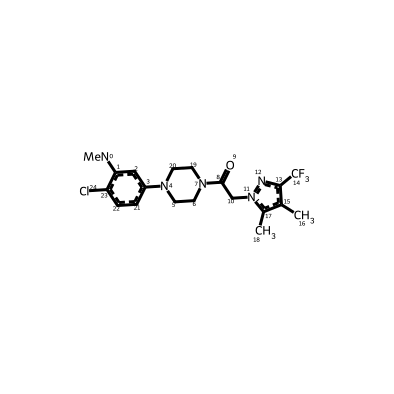 CNc1cc(N2CCN(C(=O)Cn3nc(C(F)(F)F)c(C)c3C)CC2)ccc1Cl